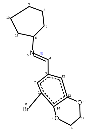 Brc1cc(/C=N/C2CCCCC2)cc2c1OCCO2